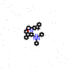 CC1(C)c2ccccc2-c2cc3c4c(n(-c5cc(-c6nc(-c7ccccc7)nc(-c7ccccc7)n6)cc6c7ccccc7c7ccc#cc7c56)c3cc21)CCC=C4